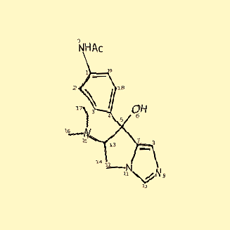 CC(=O)Nc1ccc(C(O)(c2cncn2C)C(C)N(C)C)cc1